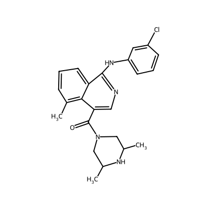 Cc1cccc2c(Nc3cccc(Cl)c3)ncc(C(=O)N3CC(C)NC(C)C3)c12